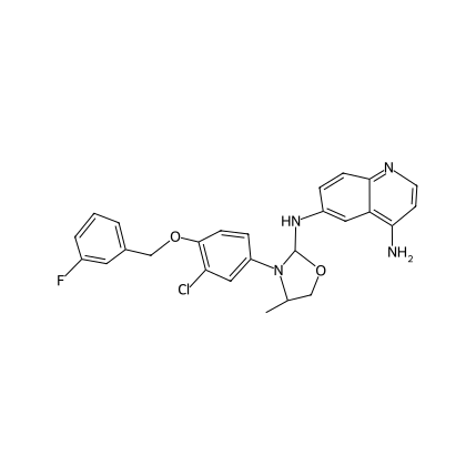 CC1COC(Nc2ccc3nccc(N)c3c2)N1c1ccc(OCc2cccc(F)c2)c(Cl)c1